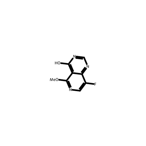 COc1ncc(F)c2ncnc(O)c12